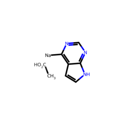 CC(=O)O.[Na][c]1ncnc2[nH]ccc12